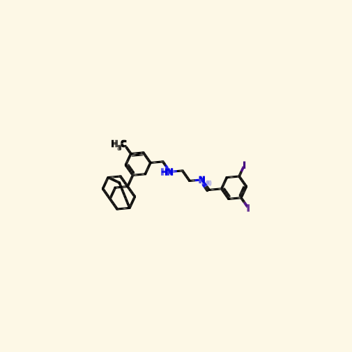 CC1=CC(CNCC/N=C/C2=CC(I)=CC(I)C2)CC(C23CC4CC(CC(C4)C2)C3)=C1